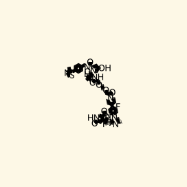 Cc1ncsc1-c1ccc(CNC(=O)[C@@H]2C[C@@H](O)CN2C(=O)[C@@H](NC(=O)COCCOCC(=O)N2CC=C(c3cc(NC(=O)c4c[nH]c(=O)cc4C(F)(F)F)c(N4C[C@@H](C)N(C)[C@@H](C)C4)cc3F)CC2)C(C)(C)C)cc1